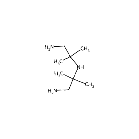 CC(C)(CN)NC(C)(C)CN